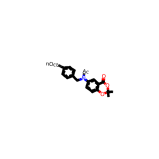 CCCCCCCCc1ccc(CN(C(C)=O)c2ccc3c(c2)C(=O)OC(C)(C)O3)cc1